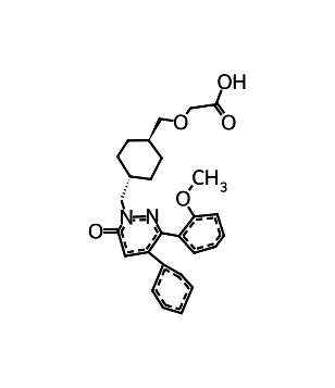 COc1ccccc1-c1nn(C[C@H]2CC[C@H](COCC(=O)O)CC2)c(=O)cc1-c1ccccc1